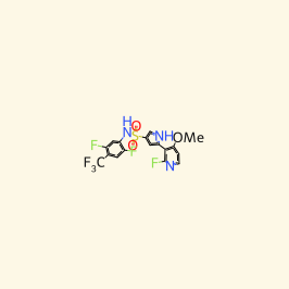 COc1ccnc(F)c1-c1cc(S(=O)(=O)Nc2cc(F)c(C(F)(F)F)cc2F)c[nH]1